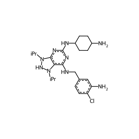 CC(C)N1NN(C(C)C)c2c(NCc3ccc(Cl)c(N)c3)nc(NC3CCC(N)CC3)nc21